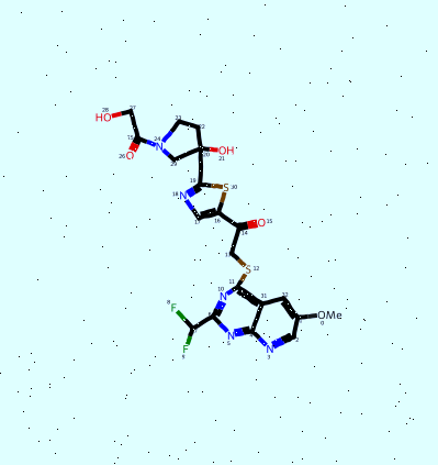 COc1cnc2nc(C(F)F)nc(SCC(=O)c3cnc(C4(O)CCN(C(=O)CO)C4)s3)c2c1